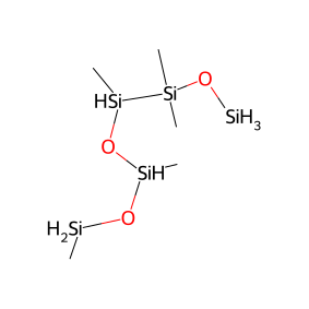 C[SiH2]O[SiH](C)O[SiH](C)[Si](C)(C)O[SiH3]